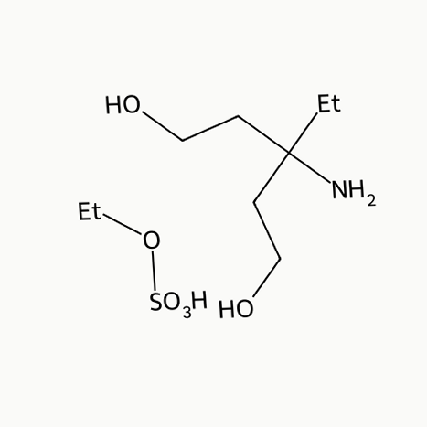 CCC(N)(CCO)CCO.CCOS(=O)(=O)O